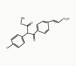 CCOC(=O)/C=C/c1ccc(C(=O)C(C(=O)OC(C)(C)C)c2ccc(Cl)cc2)cc1